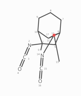 CC1(N=C=O)CC23CCCC1C2C(C)(N=C=O)C3